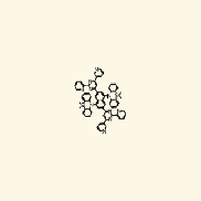 C[Si]1(C)c2ccccc2N(c2cc(-c3cc(-c4cccnc4)nc(-c4ccccn4)n3)cc3c(N4c5ccccc5[Si](C)(C)c5ccccc54)cc(-c4cc(-c5cccnc5)nc(-c5ccccn5)n4)cc23)c2ccccc21